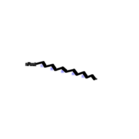 [CH]=C/C=C/C=C/C=C/C=C/C=C/CCCCC